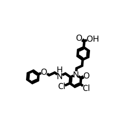 O=C(O)c1ccc(CCn2c(CNCCOc3ccccc3)c(Cl)cc(Cl)c2=O)cc1